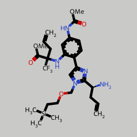 C=CC[C@H](N)c1nc(-c2ccc(NC(=O)OC)cc2NC(CC=C)(C(=O)OC)C(F)(F)F)cn1COCC[Si](C)(C)C